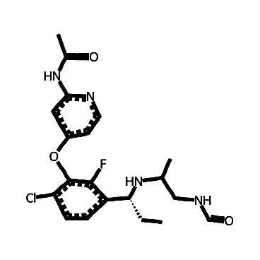 CC[C@@H](NC(C)CNC=O)c1ccc(Cl)c(Oc2ccnc(NC(C)=O)c2)c1F